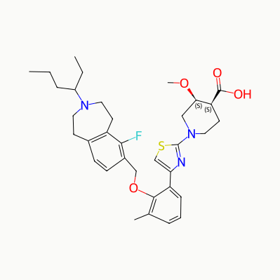 CCCC(CC)N1CCc2ccc(COc3c(C)cccc3-c3csc(N4CC[C@H](C(=O)O)[C@H](OC)C4)n3)c(F)c2CC1